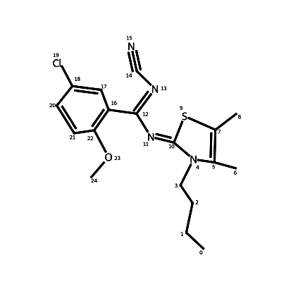 CCCCn1c(C)c(C)s/c1=N\C(=N\C#N)c1cc(Cl)ccc1OC